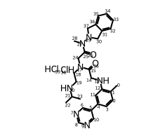 Cc1ccc(-c2cncnc2)cc1NCC(=O)N(CCNC(C)C)CC(=O)N(C)N1Cc2ccccc2C1.Cl.Cl